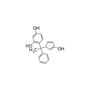 CC(c1ccccc1)(c1ccc(O)cc1O)C1C=CC(O)=C1